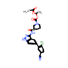 CC(=O)OC(C)OC(=O)N1CCC[C@@H](C(=O)Nc2n[nH]c3ccc(-c4cc(C#N)ccc4Cl)cc23)C1